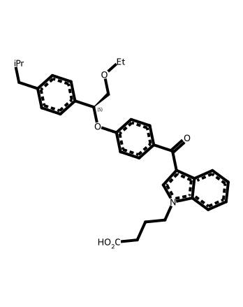 CCOC[C@@H](Oc1ccc(C(=O)c2cn(CCCC(=O)O)c3ccccc23)cc1)c1ccc(CC(C)C)cc1